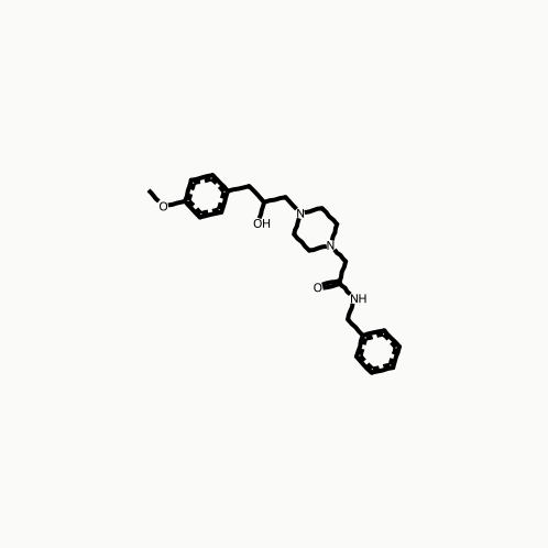 COc1ccc(CC(O)CN2CCN(CC(=O)NCc3ccccc3)CC2)cc1